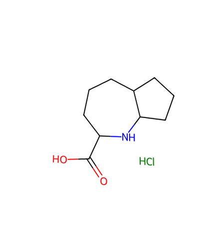 Cl.O=C(O)C1CCCC2CCCC2N1